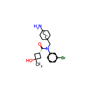 NC12CCC(CN(c3cccc(Br)c3)C(=O)[C@H]3C[C@](O)(C(F)(F)F)C3)(CC1)CC2